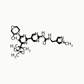 C[C@H]1COCCN1c1cc(C(C)(C)S(C)(=O)=O)nc(-c2cnc(NC(=O)NCc3cnn(C)c3)nc2)n1